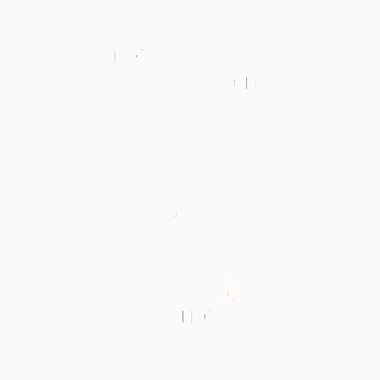 CCCC(C)CCc1ccc(OC)cc1